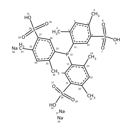 Cc1cc(C)c(S(=O)(=O)O)cc1P(c1cc(S(=O)(=O)O)c(C)cc1C)c1cc(S(=O)(=O)O)c(C)cc1C.[Na].[Na].[Na]